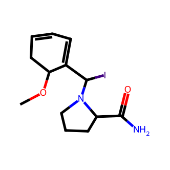 COC1CC=CC=C1C(I)N1CCCC1C(N)=O